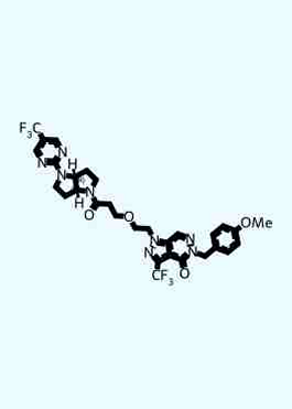 COc1ccc(Cn2ncc3c(c(C(F)(F)F)nn3CCOCCC(=O)N3CC[C@@H]4[C@H]3CCN4c3ncc(C(F)(F)F)cn3)c2=O)cc1